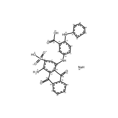 Nc1c(S(=O)(=O)O)cc(Nc2ccc(Nc3ccccc3)c(C(=O)O)c2)c2c1C(=O)c1ccccc1C2=O.[NaH]